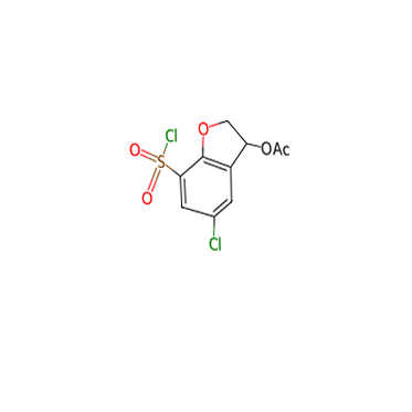 CC(=O)OC1COc2c1cc(Cl)cc2S(=O)(=O)Cl